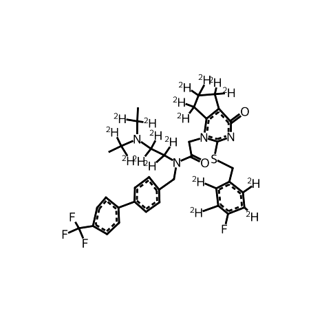 [2H]c1c([2H])c(CSc2nc(=O)c3c(n2CC(=O)N(Cc2ccc(-c4ccc(C(F)(F)F)cc4)cc2)C([2H])([2H])C([2H])([2H])N(C([2H])([2H])C)C([2H])([2H])C)C([2H])([2H])C([2H])([2H])C3([2H])[2H])c([2H])c([2H])c1F